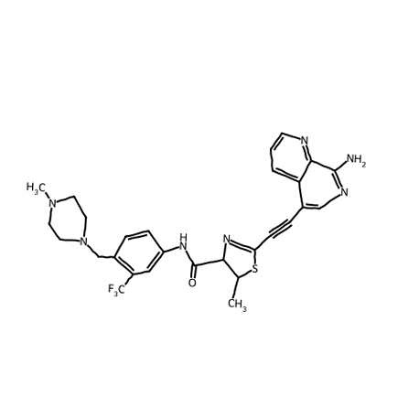 CC1SC(C#Cc2cnc(N)c3ncccc23)=NC1C(=O)Nc1ccc(CN2CCN(C)CC2)c(C(F)(F)F)c1